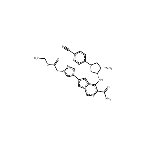 CCOC(=O)Cn1cc(-c2cc3c(N[C@@H]4CN(c5ccc(C#N)cn5)C[C@@H]4C)c(C(N)=O)cnn3c2)cn1